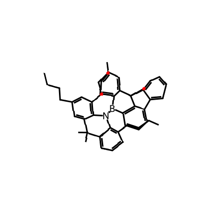 CCCCc1cc(CCCC)c2c(c1)C(C)(C)c1cccc(CCCC)c1N2B1c2ccccc2C2(C)c3ccccc3-c3cccc1c32